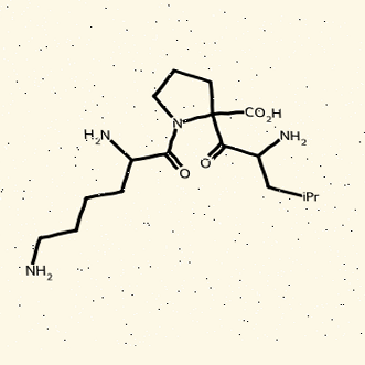 CC(C)CC(N)C(=O)C1(C(=O)O)CCCN1C(=O)C(N)CCCCN